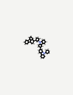 c1ccc(-n2c3ccccc3c3ccc(-c4ccc5c(c4)c4ccccc4n5-c4cccc(-c5ccc6c7c(cccc57)-c5ccccc5-6)c4)cc32)cc1